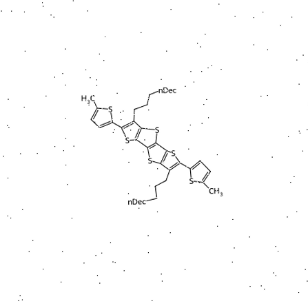 CCCCCCCCCCCCCc1c(-c2ccc(C)s2)sc2c1sc1c3sc(-c4ccc(C)s4)c(CCCCCCCCCCCCC)c3sc21